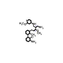 COC(=C/Cc1cccc(-c2cccc(N)c2Cl)c1C)/C(=C\N)CNc1ccnc(OC)c1